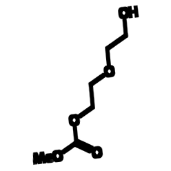 COC(=O)OCCOCCO